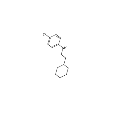 Clc1ccc(NCCC2CCCCC2)cc1